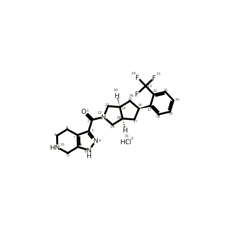 Cl.O=C(c1n[nH]c2c1CCNC2)N1C[C@H]2C[C@@H](c3ccccc3C(F)(F)F)C[C@H]2C1